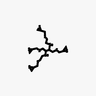 C(C[Se]C(CSCC1CS1)C(CSCC1CS1)[Se]CCSCC1CS1)SCC1CS1